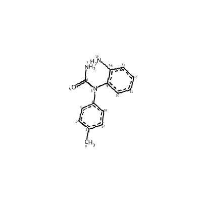 Cc1ccc(N(C(N)=O)c2ccccc2N)cc1